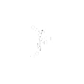 C=CCc1c(OCC(O)CN2CCN(Cc3ccc(Cl)cc3)CC2)ccc2c(OCc3ccccc3)cc(=O)oc12